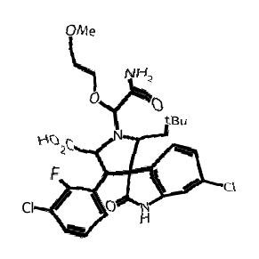 COCCOC(C(N)=O)N1C(C(=O)O)C(c2cccc(Cl)c2F)C2(C(=O)Nc3cc(Cl)ccc32)C1CC(C)(C)C